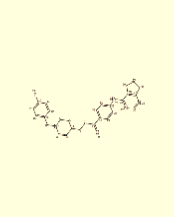 O=C(CCC1CCN(Cc2ccc(F)cc2)CC1)c1ccc(Nc2ncnc3c2CCC3)cc1